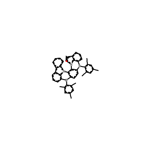 Cc1cc(C)c(B2c3ccc4c(c3-n3c5ccccc5c5cccc2c53)-n2c3ccccc3c3cccc(c32)B4c2c(C)cc(C)cc2C)c(C)c1